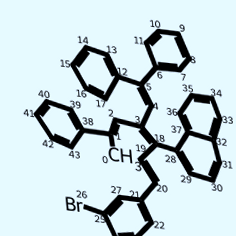 CC(=CC(C=C(c1ccccc1)c1ccccc1)=C(C=Cc1cccc(Br)c1)c1cccc2ccccc12)c1ccccc1